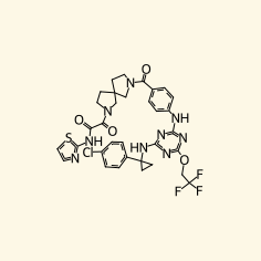 O=C(Nc1nccs1)C(=O)N1CCC2(CCN(C(=O)c3ccc(Nc4nc(NC5(c6ccc(Cl)cc6)CC5)nc(OCC(F)(F)F)n4)cc3)C2)C1